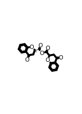 O=C1CC(C(=O)OC(=O)[C@@H]2CC(=O)c3ccccc3O2)Oc2ccccc21